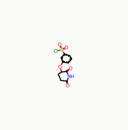 O=C1CCC(Oc2cccc(S(=O)(=O)Cl)c2)C(=O)N1